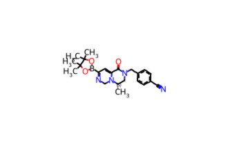 C[C@H]1CN(Cc2ccc(C#N)cc2)C(=O)C2=CC(B3OC(C)(C)C(C)(C)O3)=NCN21